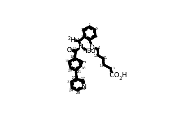 [2H]C(c1ccccc1OCCCCCC(=O)O)N(C(=O)c1ccc(-c2cccnc2)cc1)C(C)CC